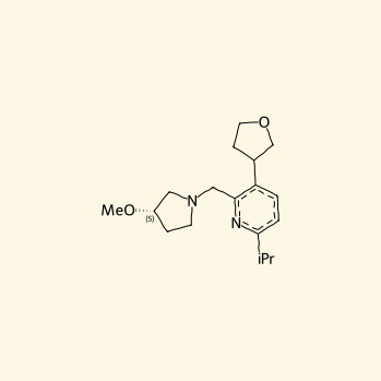 CO[C@H]1CCN(Cc2nc(C(C)C)ccc2C2CCOC2)C1